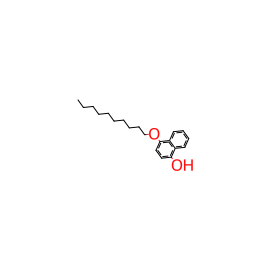 CCCCCCCCCCOc1ccc(O)c2ccccc12